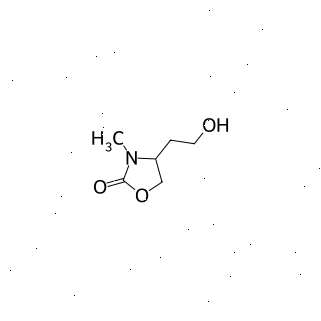 CN1C(=O)OCC1CCO